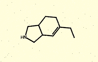 CCC1=CC2CNCC2CC1